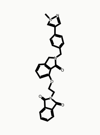 Cn1cc(-c2ccc(CN3Cc4cccc(OCCN5C(=O)c6ccccc6C5=O)c4C3=O)cc2)cn1